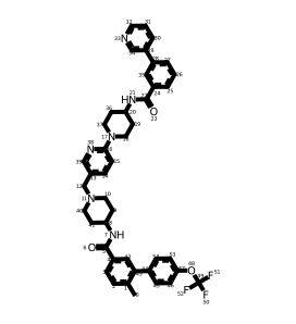 Cc1ccc(C(=O)NC2CCN(Cc3ccc(N4CCC(NC(=O)c5cccc(-c6cccnc6)c5)CC4)nc3)CC2)cc1-c1ccc(OC(F)(F)F)cc1